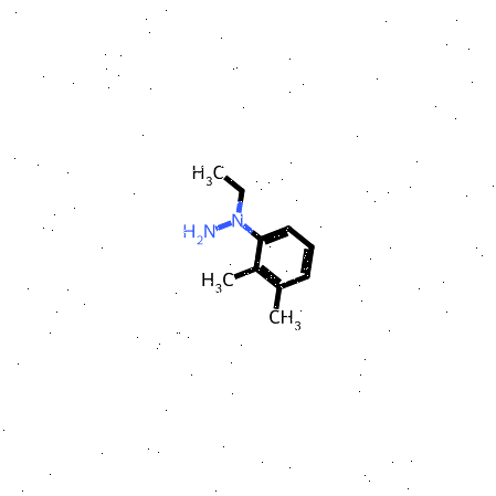 CCN(N)c1cccc(C)c1C